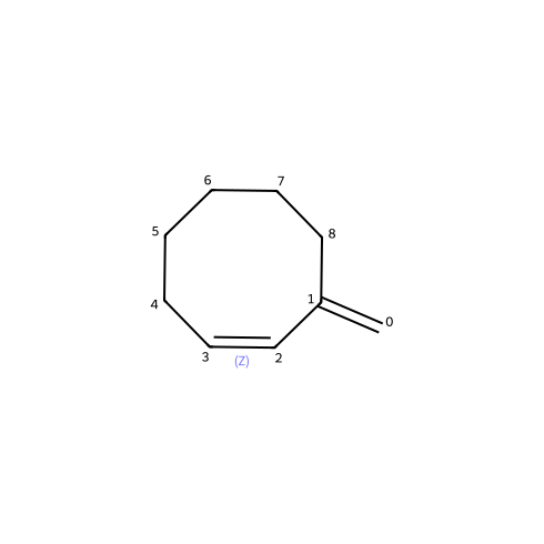 C=C1/C=C\CCCCC1